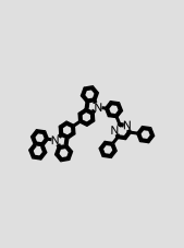 c1ccc(-c2cc(-c3ccccc3)nc(-c3cccc(-n4c5ccccc5c5cc(-c6ccc7c(c6)c6ccccc6n7-c6cccc7ccccc67)ccc54)c3)n2)cc1